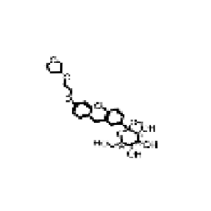 COC1(c2ccc(Cl)c(Cc3ccc(OCCOC4CCOC4)cc3)c2)O[C@H](CO)[C@@H](O)[C@H](O)[C@H]1O